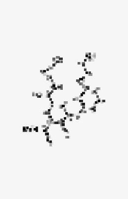 CCC1CC1NC(=O)c1cc(C(=O)NC)c(=O)n(Cc2cccc(OCCO)c2)c1